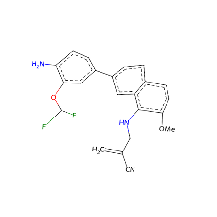 C=C(C#N)CNc1c(OC)ccc2ccc(-c3ccc(N)c(OC(F)F)c3)cc12